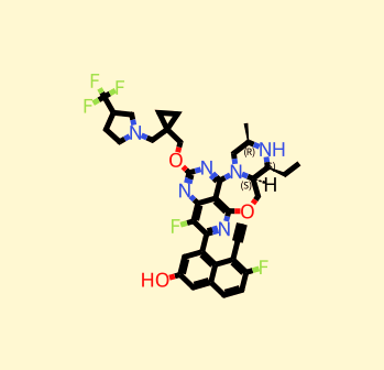 C#Cc1c(F)ccc2cc(O)cc(-c3nc4c5c(nc(OCC6(CN7CCC(C(F)(F)F)C7)CC6)nc5c3F)N3C[C@@H](C)N[C@@H](CC)[C@H]3CO4)c12